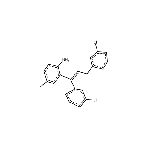 Cc1ccc(N)c(/C(=C/Cc2cccc(Cl)c2)c2cccc(Cl)c2)c1